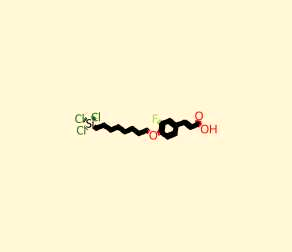 O=C(O)C=Cc1ccc(OCCCCCCCC[Si](Cl)(Cl)Cl)c(F)c1